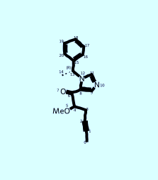 CC#CCC(OC)C(=O)c1cncn1[C@H](C)c1ccccc1